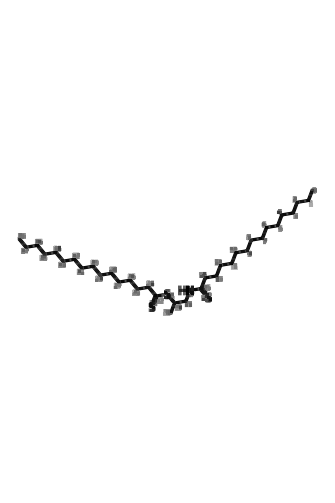 CCCCCCCCCCCCCCCC(=S)NCC(C)SC(=S)CCCCCCCCCCCCCCC